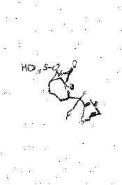 O=C1N2CC(CCC2C(F)(F)c2nccs2)N1OS(=O)(=O)O